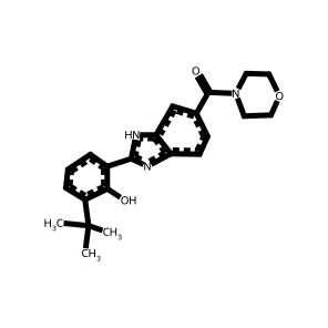 CC(C)(C)c1cccc(-c2nc3ccc(C(=O)N4CCOCC4)cc3[nH]2)c1O